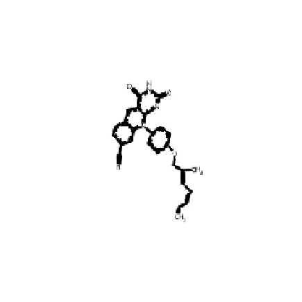 C=C/C=C\C=C(/C)COc1ccc(-n2c3nc(=O)[nH]c(=O)c-3cc3ccc(C#N)cc32)cc1